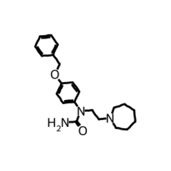 NC(=O)N(CCN1CCCCCC1)c1ccc(OCc2ccccc2)cc1